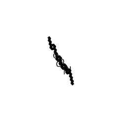 CCCCCCCc1cnc(-c2ccc(C(=O)Oc3ccc(OCCCC4CCC(CCCCC)CC4)cc3)cc2)nc1